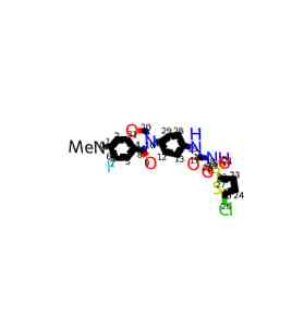 CNc1cc2c(cc1F)C(=O)N(c1ccc(NC(=O)NS(=O)(=O)c3ccc(Cl)s3)cc1)CO2